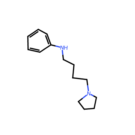 c1ccc(NCCCCN2CCCC2)cc1